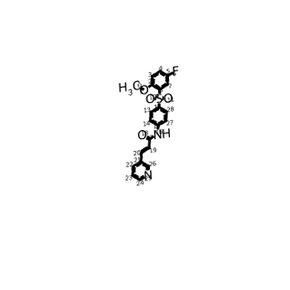 COc1ccc(F)cc1S(=O)(=O)c1ccc(NC(=O)C=Cc2cccnc2)cc1